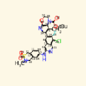 Cc1c(-c2cc3cc(Nc4ccc5c(c4)CN(C)S(=O)(=O)C5)ncc3c(Cl)c2F)cnc2c1N(C(=O)OC(C)(C)C)CCO2